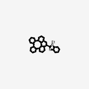 CCn1c(-c2cc3cccc4c5ccccc5c5ccccc5c5cccc2c5c34)nc2ccccc21